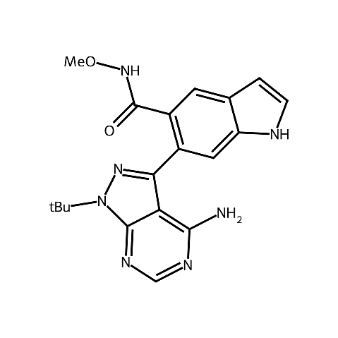 CONC(=O)c1cc2cc[nH]c2cc1-c1nn(C(C)(C)C)c2ncnc(N)c12